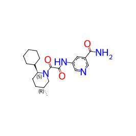 C[C@@H]1CC[C@@H](C2CCCCC2)N(C(=O)C(=O)Nc2cncc(C(N)=O)c2)C1